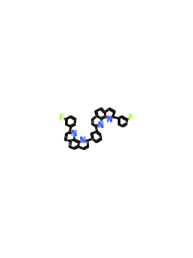 Fc1cccc(-c2ccc3ccc4ccc(-c5cccc(-c6ccc7ccc8ccc(-c9cccc(F)c9)nc8c7n6)c5)nc4c3n2)c1